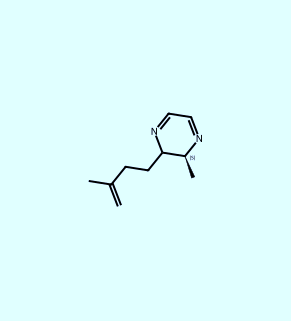 C=C(C)CCC1N=CC=N[C@H]1C